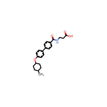 CC1CCC(Oc2ccc(-c3ccc(C(=O)NCCC(=O)O)cc3)cc2)CC1